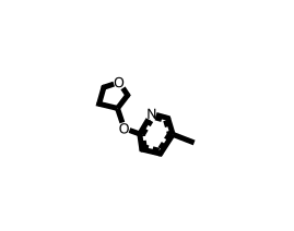 Cc1ccc(OC2CCOC2)nc1